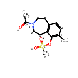 [C-]#[N+]c1ccc2c(c1OS(=O)(=O)C(F)(F)F)CCN(C(=O)C(F)(F)F)CC2